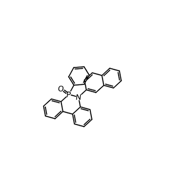 O=P1(c2ccccc2)c2ccccc2-c2ccccc2N1c1ccc2ccccc2c1